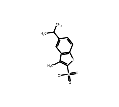 Cc1c(S(=O)(=O)Cl)sc2ccc(C(C)C)cc12